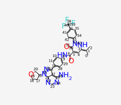 CC(C)=C1C=C(C(=O)Nc2ccc(-c3nn(C4CCOC4)c4ncnc(N)c34)cc2)C(=O)N(c2ccc(C(F)(F)F)cc2)N1